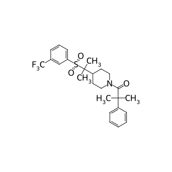 CC(C)(C(=O)N1CCC(C(C)(C)S(=O)(=O)c2cccc(C(F)(F)F)c2)CC1)c1ccccc1